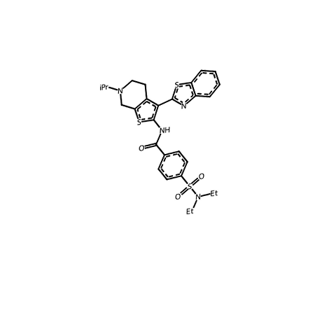 CCN(CC)S(=O)(=O)c1ccc(C(=O)Nc2sc3c(c2-c2nc4ccccc4s2)CCN(C(C)C)C3)cc1